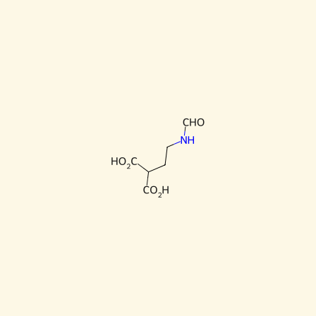 O=CNCCC(C(=O)O)C(=O)O